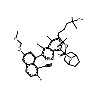 C#Cc1c(F)ccc2cc(OCOC)cc(-c3ncc4c(N5CC6CCC(C5)N6C(=O)OC(C)(C)C)nc(CCCC(C)(C)O)c(C)c4c3F)c12